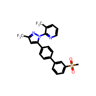 CS(=O)(=O)c1cccc(-c2ccc(-c3cc(C(F)(F)F)nn3-c3ncccc3C(F)(F)F)cc2)c1